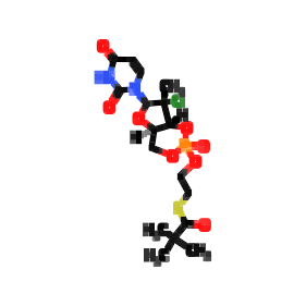 CC(C)(C)C(=O)SCCOP1(=O)OC[C@H]2O[C@@H](n3ccc(=O)[nH]c3=O)[C@](C)(Cl)[C@@H]2O1